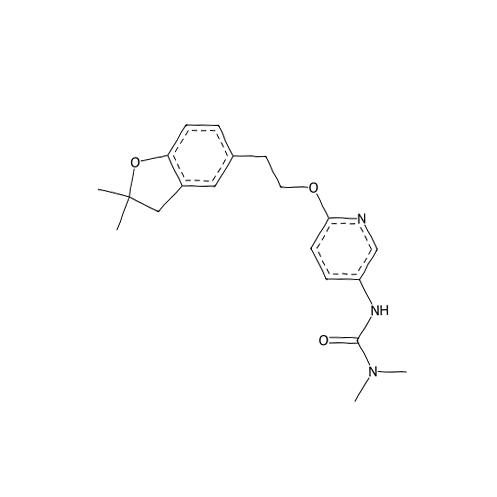 CN(C)C(=O)Nc1ccc(OCCc2ccc3c(c2)CC(C)(C)O3)nc1